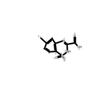 O=C(O)C1=Nc2cc(I)ccc2S(=O)(=O)N1